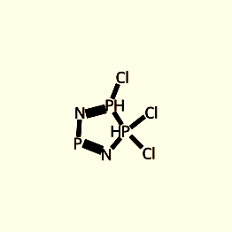 Cl[PH]1=NP=N[PH]1(Cl)Cl